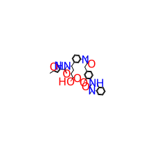 COc1cc(CC(=O)N(C)c2cccc(C(CCC(=O)O)NC(=O)c3cc(C)on3)c2)ccc1NC(=O)N(C)c1ccccc1C